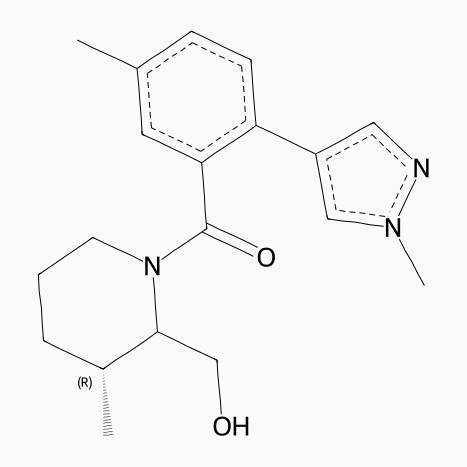 Cc1ccc(-c2cnn(C)c2)c(C(=O)N2CCC[C@@H](C)C2CO)c1